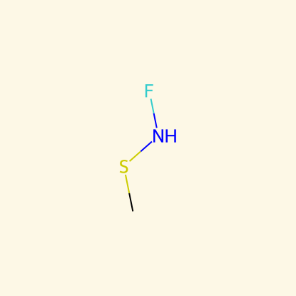 CSNF